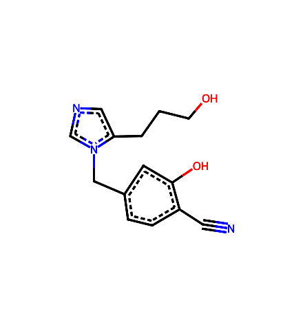 N#Cc1ccc(Cn2cncc2CCCO)cc1O